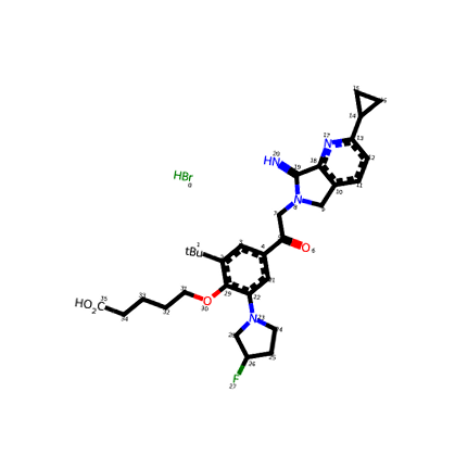 Br.CC(C)(C)c1cc(C(=O)CN2Cc3ccc(C4CC4)nc3C2=N)cc(N2CCC(F)C2)c1OCCCCC(=O)O